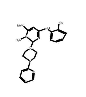 CNC1=CC(Nc2ccccc2C(C)(C)C)=NC(N2CCN(c3ccccn3)CC2)N1C